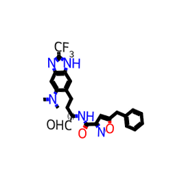 CN(C)c1cc2nc(C(F)(F)F)[nH]c2cc1CC[C@@H](C=O)NC(=O)c1cc(Cc2ccccc2)on1